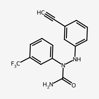 C#Cc1cccc(NN(C(N)=O)c2cccc(C(F)(F)F)c2)c1